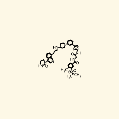 Cc1ccc(C(=O)NCC(=O)Nc2nc(-c3cccc(N4CCC(NCCCc5cccc6c(N7CCCNC7=O)cncc56)CC4)c3)cs2)cc1S(=O)(=O)C(C)C